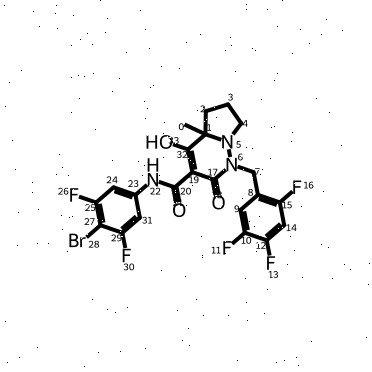 CC12CCCN1N(Cc1cc(F)c(F)cc1F)C(=O)C(C(=O)Nc1cc(F)c(Br)c(F)c1)=C2O